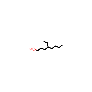 CCCCC([CH]CCO)CC